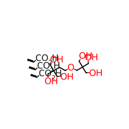 C=CC(=O)O.C=CC(=O)O.C=CC(=O)O.OCC(CO)(CO)CCOCC(CO)(CO)CO